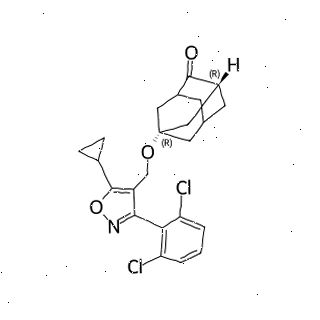 O=C1C2CC3C[C@@H]1C[C@@](OCc1c(-c4c(Cl)cccc4Cl)noc1C1CC1)(C3)C2